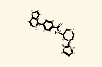 O=C(NC1COCCN(c2ncccn2)C1)c1ccc(-c2nccc3occc23)cc1